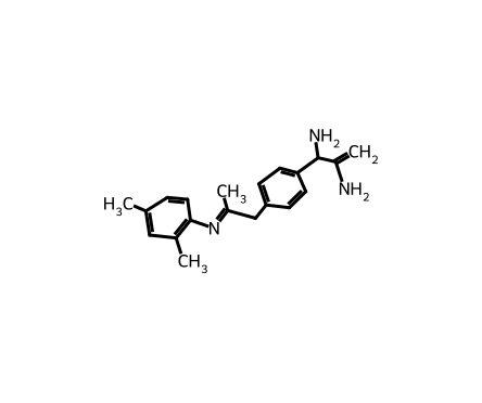 C=C(N)C(N)c1ccc(C/C(C)=N/c2ccc(C)cc2C)cc1